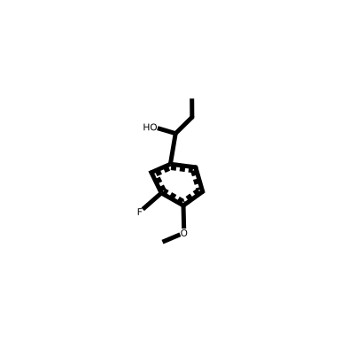 CCC(O)c1ccc(OC)c(F)c1